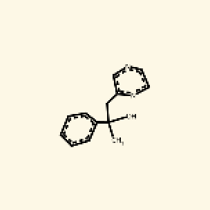 CC(O)(Cc1cnccn1)c1ccccc1